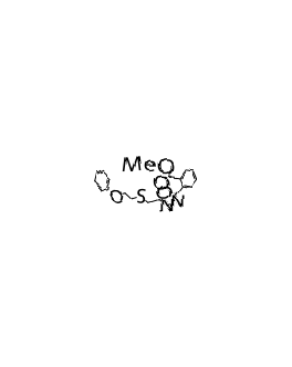 COC(=O)c1ccccc1-c1nnc(CSCCOc2ccccc2)o1